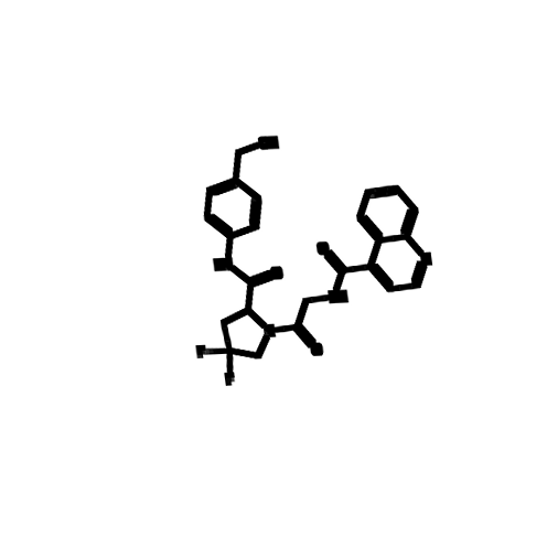 O=C(NCC(=O)N1CC(F)(F)CC1C(=O)Nc1ccc(CO)cc1)c1ccnc2ccccc12